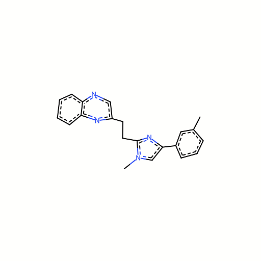 Cc1cccc(-c2cn(C)c(CCc3cnc4ccccc4n3)n2)c1